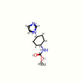 CC(C)(C)OC(=O)N[C@H]1CC[C@H](n2ccnc2)CC1